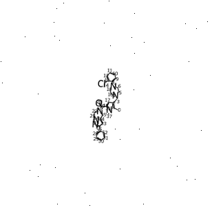 Cc1c(CN2CCN(c3ccccc3Cl)CC2)cc(C(=O)N2CCn3nc(-c4ccccc4)cc3C2)n1C